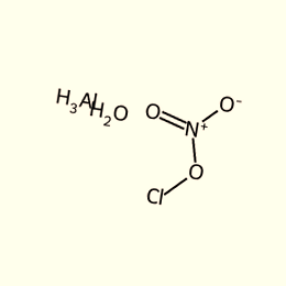 O.O=[N+]([O-])OCl.[AlH3]